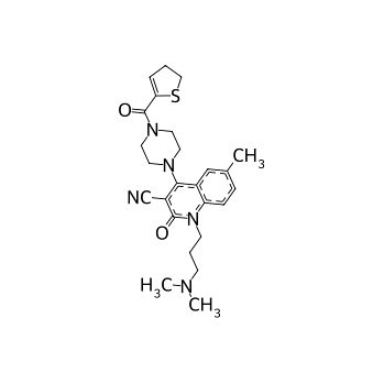 Cc1ccc2c(c1)c(N1CCN(C(=O)C3=CCCS3)CC1)c(C#N)c(=O)n2CCCN(C)C